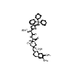 CON=C(C(=O)NC1C(=O)N2CC(CN3CCc4cc(OC(C)=O)c(OC(C)=O)cc4C3)(C(=O)O)C[S+]([O-])[C@H]12)c1csc(NC(c2ccccc2)(c2ccccc2)c2ccccc2)n1